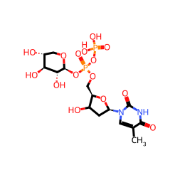 Cc1cn([C@H]2CC(O)[C@@H](COP(=O)(O[C@@H]3OC[C@@H](O)[C@H](O)[C@H]3O)OP(=O)(O)O)O2)c(=O)[nH]c1=O